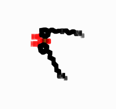 CCCCCCCCc1ccc(O)c(S(=O)(=O)c2cc(CCCCCCCC)ccc2O)c1